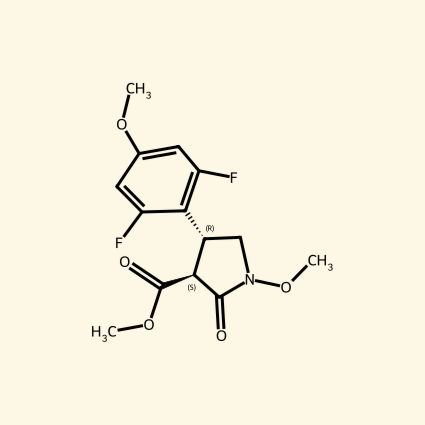 COC(=O)[C@@H]1C(=O)N(OC)C[C@H]1c1c(F)cc(OC)cc1F